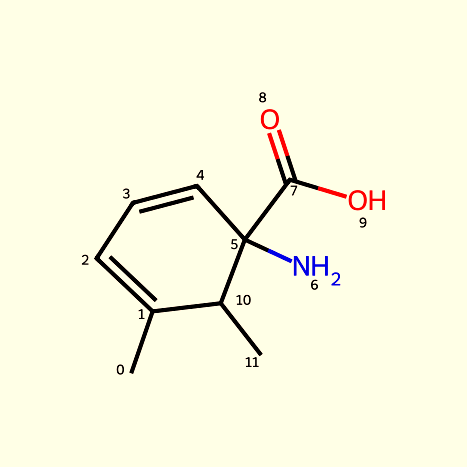 CC1=CC=CC(N)(C(=O)O)C1C